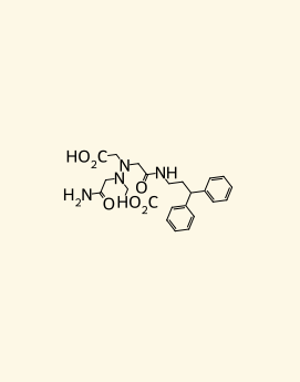 NC(=O)CN(CC(=O)O)N(CC(=O)O)CC(=O)NCCC(c1ccccc1)c1ccccc1